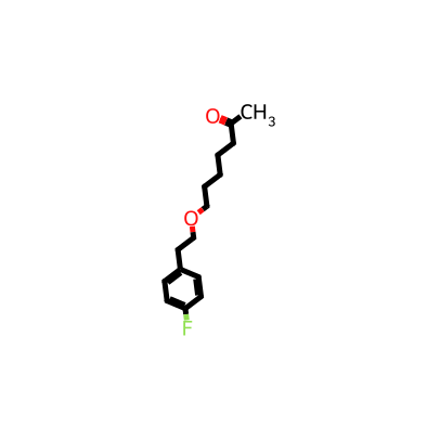 CC(=O)CCCCCOCCc1ccc(F)cc1